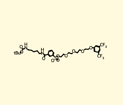 CC(C)(C)OC(=O)NCCCCCNC(=O)c1cccc(S(=O)(=O)OCCOCCOCCOCCOc2cc(C(F)(F)F)cc(C(F)(F)F)c2)c1